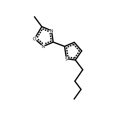 CCCCc1ccc(-c2noc(C)n2)s1